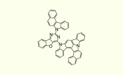 c1ccc2c(c1)ccc1c2c2ccccc2n1-c1nc(-n2c3ccccc3c3c4c5c6ccccc6ccc5n5c6ccccc6c(cc32)c45)c2oc3ccccc3c2n1